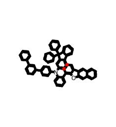 c1ccc(-c2cccc(-c3ccc(N(c4ccc5c(c4)C(c4ccccc4)(c4ccccc4)c4ccccc4-5)c4ccccc4-c4cccc5c4oc4cc6ccccc6cc45)cc3)c2)cc1